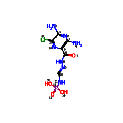 Nc1nc(N)c(C(=O)NN=CNP(=O)(O)O)nc1Cl